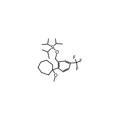 COC1(c2ccc(C(F)(F)F)cc2CO[Si](C(C)C)(C(C)C)C(C)C)CCCCCC1